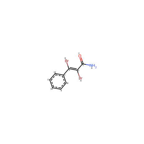 NC(=O)C(Br)=C(Br)c1ccccc1